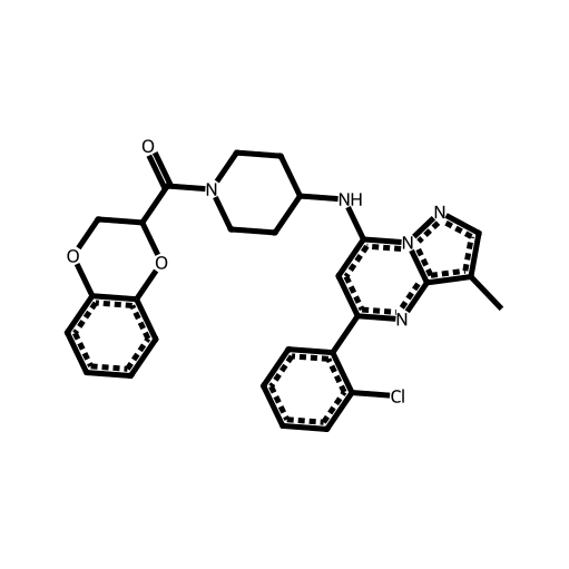 Cc1cnn2c(NC3CCN(C(=O)C4COc5ccccc5O4)CC3)cc(-c3ccccc3Cl)nc12